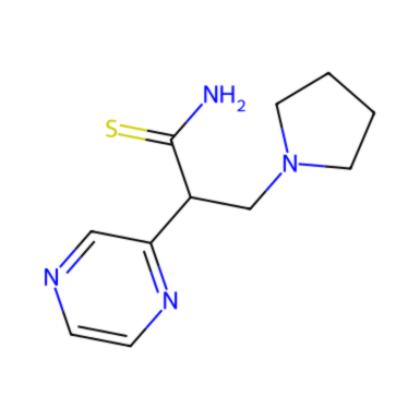 NC(=S)C(CN1CCCC1)c1cnccn1